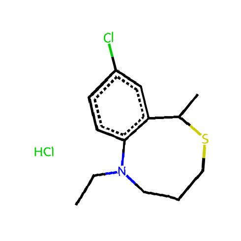 CCN1CCCSC(C)c2cc(Cl)ccc21.Cl